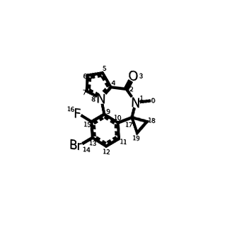 CN1C(=O)c2cccn2-c2c(ccc(Br)c2F)C12CC2